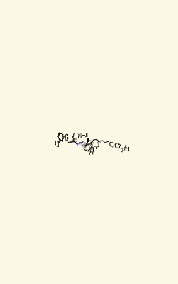 O=C(O)CCC[C@H]1CC[C@H]2[C@H](CC[C@@H]2/C=C/[C@@H](O)COc2cccc(Cl)c2)OC1